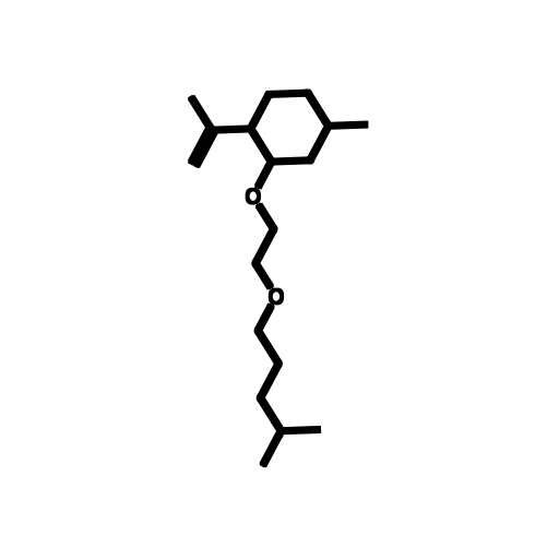 C=C(C)C1CCC(C)CC1OCCOCCC[C](C)C